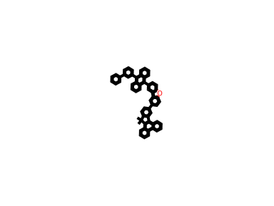 CC1(C)c2ccc(-c3ccc4oc5ccc(-c6c7ccccc7c(-c7cccc(-c8ccccc8)c7)c7ccccc67)cc5c4c3)cc2-c2c1c1ccccc1c1ccccc21